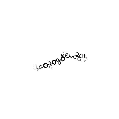 C=C(C)C(=O)OCCCCSc1ccc(C(=O)Oc2ccc(C(=O)Oc3ccc(CC)cc3)cc2)cc1OC